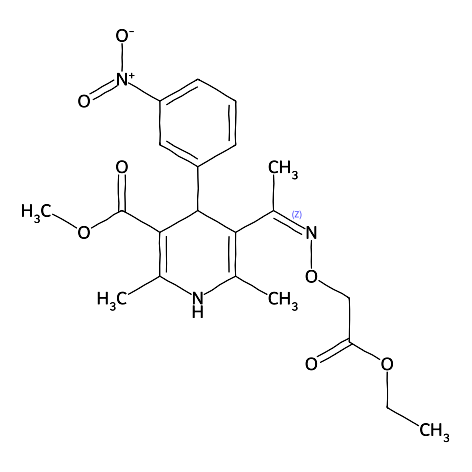 CCOC(=O)CO/N=C(/C)C1=C(C)NC(C)=C(C(=O)OC)C1c1cccc([N+](=O)[O-])c1